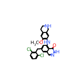 COc1cc2c(cc1Nc1cc(Cc3c(Cl)cccc3Cl)cc3cn[nH]c(=O)c13)CNCC2